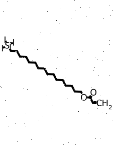 C=CC(=O)OCCCCCCCCCCCCCCCC[Si](I)(I)I